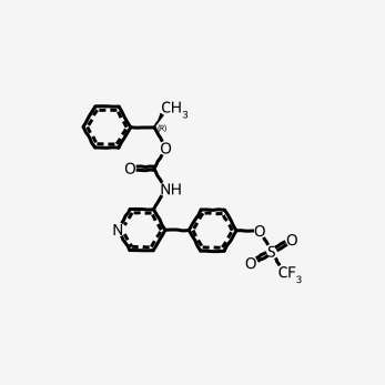 C[C@@H](OC(=O)Nc1cnccc1-c1ccc(OS(=O)(=O)C(F)(F)F)cc1)c1ccccc1